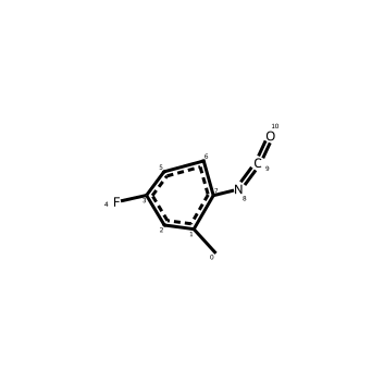 Cc1cc(F)ccc1N=C=O